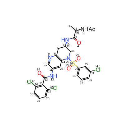 CC(=O)N[C@H](C)C(=O)N[C@@H]1Cc2ncc(NC(=O)c3c(Cl)cccc3Cl)cc2N(S(=O)(=O)c2cccc(Cl)c2)C1